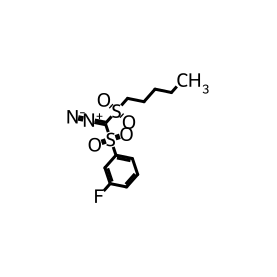 CCCCCS(=O)(=O)C(=[N+]=[N-])S(=O)(=O)c1cccc(F)c1